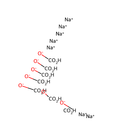 O=C([O-])O.O=C([O-])O.O=C([O-])O.O=C([O-])O.O=C([O-])O.O=C([O-])O.O=C([O-])O.[Na+].[Na+].[Na+].[Na+].[Na+].[Na+].[Na+]